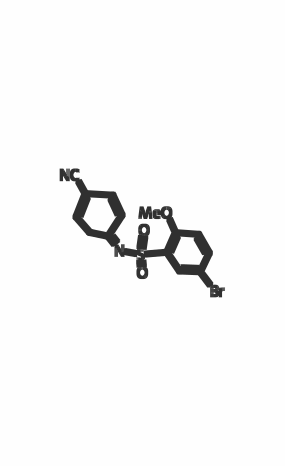 COc1ccc(Br)cc1S(=O)(=O)N=C1C=CC(C#N)=CC1